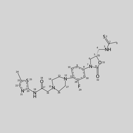 CC(=S)NC[C@H]1CN(c2ccc(N3CCN(CC(=O)Nc4ncc(C)s4)CC3)c(F)c2)C(=O)O1